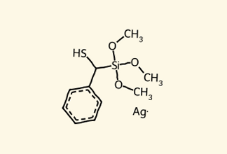 CO[Si](OC)(OC)C(S)c1ccccc1.[Ag]